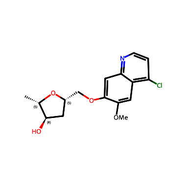 COc1cc2c(Cl)ccnc2cc1OC[C@@H]1C[C@@H](O)[C@H](C)O1